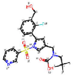 CC(C)(C)CN(Cc1cc(-c2cccc(CO)c2F)n(S(=O)(=O)c2cccnc2)c1)C(=O)O